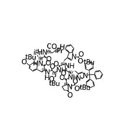 CC(C)C[C@H](NC(=O)[C@@H](CC(C)C)NC(=O)[C@H](Cc1ccc(OC(C)(C)C)cc1)NC(=O)[C@H](COC(C)(C)C)NC(=O)[C@H](Cc1cn(C(=O)OC(C)(C)C)c2ccccc12)NC(=O)[C@H](Cc1cn(C(c2ccccc2)(c2ccccc2)c2ccccc2)cn1)NC(=O)[C@@H]1CCC(=O)N1C(=O)OC(C)(C)C)C(=O)O